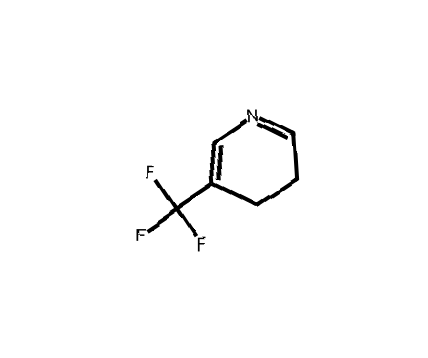 FC(F)(F)C1=CN=CCC1